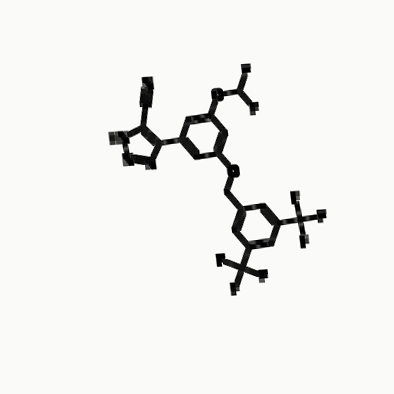 N#Cc1[nH]nnc1-c1cc(OCc2cc(C(F)(F)F)cc(C(F)(F)F)c2)cc(OC(F)F)c1